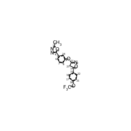 Cc1nnc(-c2cccc(OC3=NO[C@@H](c4ccc(OC(F)(F)F)cc4)C3)c2)o1